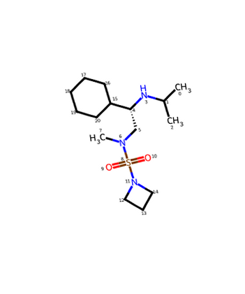 CC(C)N[C@H](CN(C)S(=O)(=O)N1CCC1)C1CCCCC1